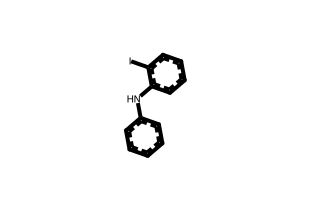 Ic1ccccc1Nc1ccccc1